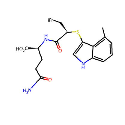 Cc1cccc2[nH]cc(S[C@H](CC(C)C)C(=O)N[C@@H](CCC(N)=O)C(=O)O)c12